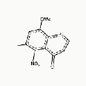 COc1cc(C)c([N+](=O)[O-])c2c(=O)ccoc12